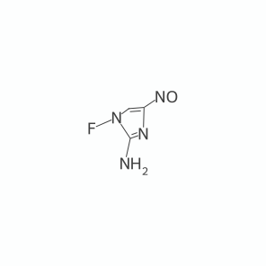 Nc1nc(N=O)cn1F